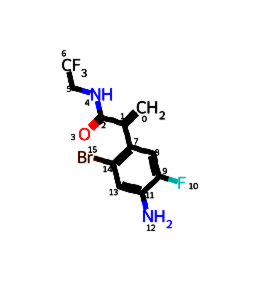 C=C(C(=O)NCC(F)(F)F)c1cc(F)c(N)cc1Br